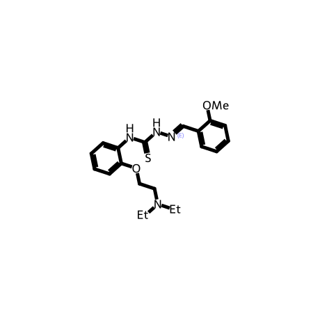 CCN(CC)CCOc1ccccc1NC(=S)N/N=C/c1ccccc1OC